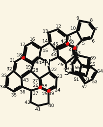 c1ccc(-n2c3ccccc3c3ccc(-c4ccccc4N(c4ccccc4-c4cccc5cccc(C6CCCCC6)c45)c4cccc5c4sc4ccccc45)cc32)cc1